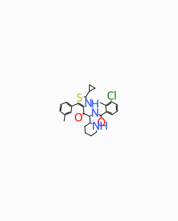 Cc1cccc(-c2sc(C3CC3)nc2C(=O)[C@@H](NC(=O)c2cccc(Cl)c2C)C2CCCCN2)c1